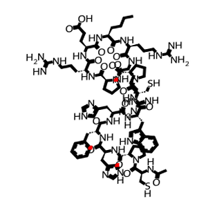 CCCC[C@H](NC(=O)[C@H](CCC(=O)O)NC(=O)[C@@H](CCCNC(=N)N)NC(=O)[C@@H]1CCCN1C(=O)[C@@H]1CCCN1C(=O)[C@H](CS)NC(=O)[C@H](Cc1c[nH]c2ccccc12)NC(=O)[C@H](Cc1c[nH]cn1)NC(=O)[C@@H](Cc1ccccc1)NC(=O)[C@H](Cc1c[nH]cn1)NC(=O)[C@@H]1CCCN1C(=O)[C@H](CS)NC(C)=O)C(=O)N[C@@H](CCCNC(=N)N)C(=O)N[C@H](CCCNC(=N)N)C(N)=O